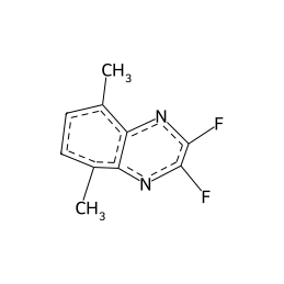 Cc1ccc(C)c2nc(F)c(F)nc12